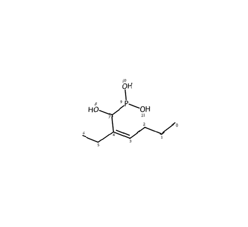 CCCC=C(CC)C(O)P(O)O